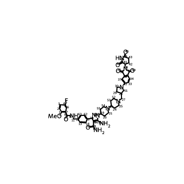 COc1ccc(F)cc1C(=O)NCc1ccc(-c2nn(C3CCN(C4CCN(CC5CCN(c6ccc7c(c6)C(=O)N(C6CCC(=O)NC6=O)C7=O)C5)CC4)CC3)c(N)c2C(N)=O)cc1